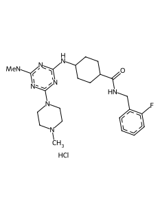 CNc1nc(NC2CCC(C(=O)NCc3ccccc3F)CC2)nc(N2CCN(C)CC2)n1.Cl